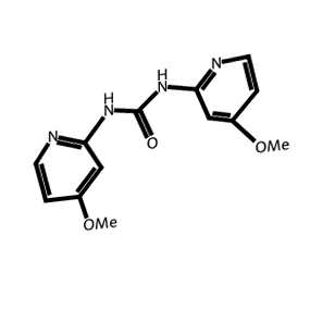 COc1ccnc(NC(=O)Nc2cc(OC)ccn2)c1